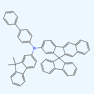 CC1(C)c2ccccc2-c2ccc(N(c3ccc(-c4ccccc4)cc3)c3ccc4c(c3)C3(c5ccccc5-c5ccccc53)c3cc5ccccc5cc3-4)cc21